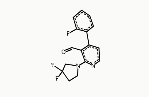 O=Cc1c(-c2ccccc2F)ccnc1N1CCC(F)(F)C1